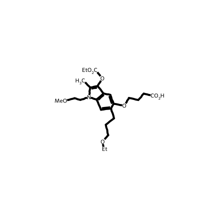 CCOCCCc1cc2c(cc1OCCCC(=O)O)c(OC(=O)OCC)c(C)n2CCOC